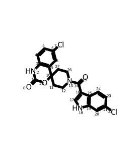 O=C1Nc2ccc(Cl)cc2C2(CCN(C(=O)c3c[nH]c4cc(Cl)ccc34)CC2)O1